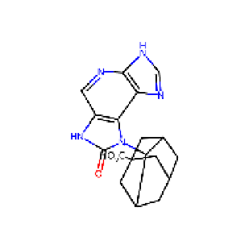 O=C(O)C12CC3CC(C1)C(n1c(=O)[nH]c4cnc5[nH]cnc5c41)C(C3)C2